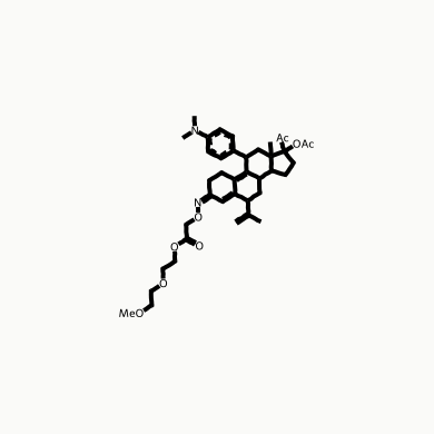 C=C(C)C1CC2C(=C3CC/C(=N/OCC(=O)OCCOCCOC)C=C31)C(c1ccc(N(C)C)cc1)CC1(C)C2CCC1(OC(C)=O)C(C)=O